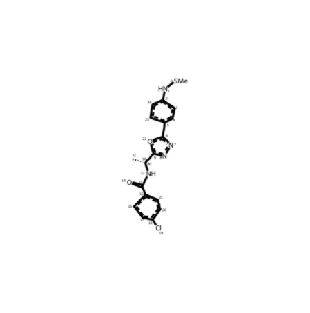 CSNc1ccc(-c2nnc([C@@H](C)NC(=O)c3ccc(Cl)cc3)o2)cc1